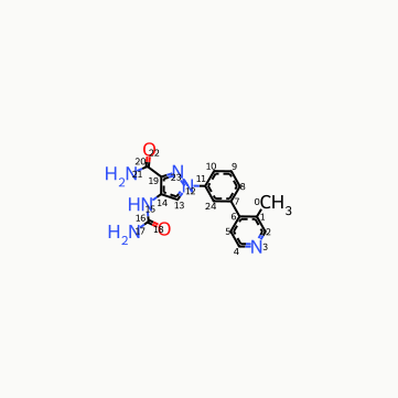 Cc1cnccc1-c1cccc(-n2cc(NC(N)=O)c(C(N)=O)n2)c1